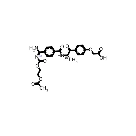 CC(=O)OCCOC(=O)/N=C(/N)c1ccc(C(=O)N[C@@H](C)C(=O)c2ccc(OCC(=O)O)cc2)cc1